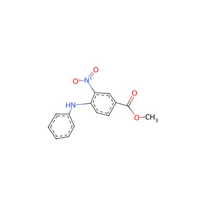 COC(=O)c1ccc(Nc2ccccc2)c([N+](=O)[O-])c1